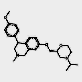 COc1ccc(C2CN(C)Cc3cc(OC[C@@H]4CN(C(C)C)CCO4)ccc32)cc1